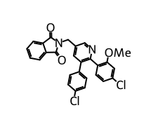 COc1cc(Cl)ccc1-c1ncc(CN2C(=O)c3ccccc3C2=O)cc1-c1ccc(Cl)cc1